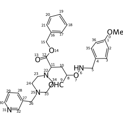 COc1ccc(CNOC(C=O)CC(C(=O)OCc2ccccc2)N2CCN(Cc3cccnc3)CC2)cc1